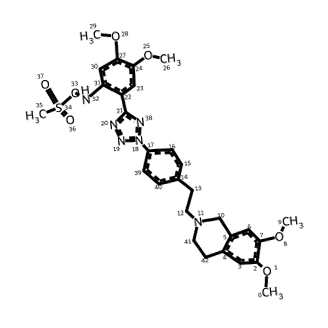 COc1cc2c(cc1OC)CN(CCc1ccc(-n3nnc(-c4cc(OC)c(OC)cc4NOS(C)(=O)=O)n3)cc1)CC2